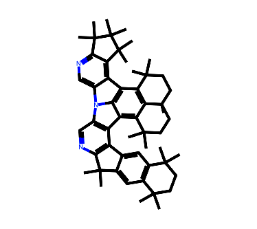 CC1(C)CCC(C)(C)c2cc3c(cc21)-c1c(ncc2c1c1c4c5c(c6c7c8c(ncc7n2c16)C(C)(C)C(C)(C)C8(C)C)C(C)(C)CCC5(C)CCC4(C)C)C3(C)C